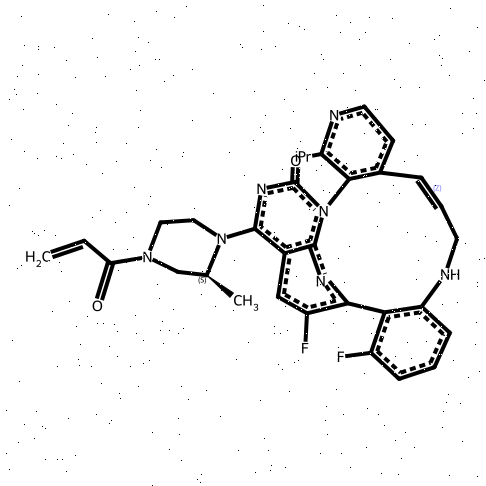 C=CC(=O)N1CCN(c2nc(=O)n3c4nc(c(F)cc24)-c2c(F)cccc2NC/C=C\c2ccnc(C(C)C)c2-3)[C@@H](C)C1